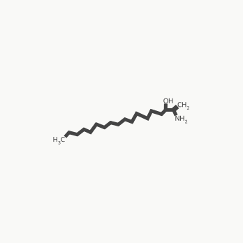 C=C(N)C(O)CCCCCCCCCCCCCCC